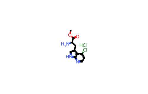 COC(=O)C(N)Cc1c[nH]c2nccc(Cl)c12.Cl